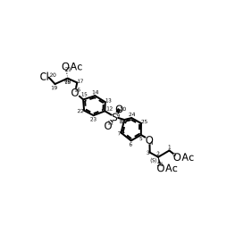 CC(=O)OC[C@H](COc1ccc(S(=O)(=O)c2ccc(OC[C@H](CCl)OC(C)=O)cc2)cc1)OC(C)=O